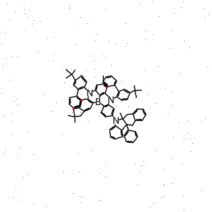 Cc1cc2c3c(c1)N(c1ccc(C(C)(C)C)cc1-c1ccccc1)c1cc4c(cc1B3c1ccc(N3c5ccccc5C5(c6ccccc6)Cc6ccccc6CC35C)cc1N2c1ccc(C(C)(C)C)cc1-c1ccccc1)CC(C)(C)C4